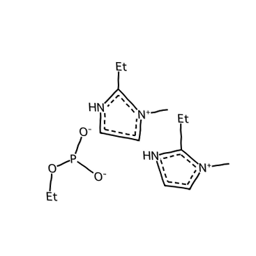 CCOP([O-])[O-].CCc1[nH]cc[n+]1C.CCc1[nH]cc[n+]1C